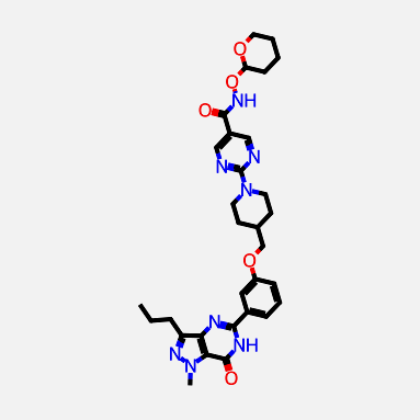 CCCc1nn(C)c2c(=O)[nH]c(-c3cccc(OCC4CCN(c5ncc(C(=O)NOC6CCCCO6)cn5)CC4)c3)nc12